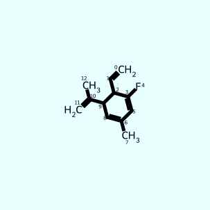 C=CC1C(F)=CC(C)=CC1C(=C)C